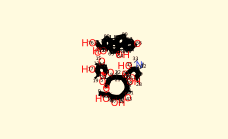 CC[C@H]1OC(=O)[C@H](C)[C@@H](O[C@H]2C[C@@](C)(OC)[C@@H](O)[C@H](C)O2)[C@H](C)[C@@H](O[C@@H]2O[C@H](C)C[C@H](N(C)C)[C@H]2O)[C@](C)(O)C[C@@H](C)C(=O)[C@H](C)[C@@H](O)[C@]1(C)O.C[C@]12C=CC(=O)C=C1CC[C@@H]1[C@@H]2[C@@H](O)C[C@@]2(C)[C@H]1CC[C@]2(O)C(=O)CO